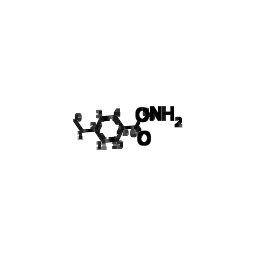 CCc1ccc(C(=O)ON)cc1